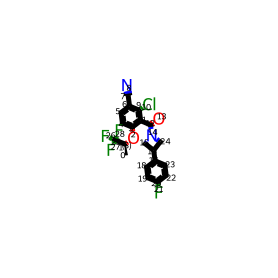 C[C@H](Oc1ccc(C#N)c(Cl)c1C(=O)N1CC(c2ccc(F)cc2)C1)C(F)(F)F